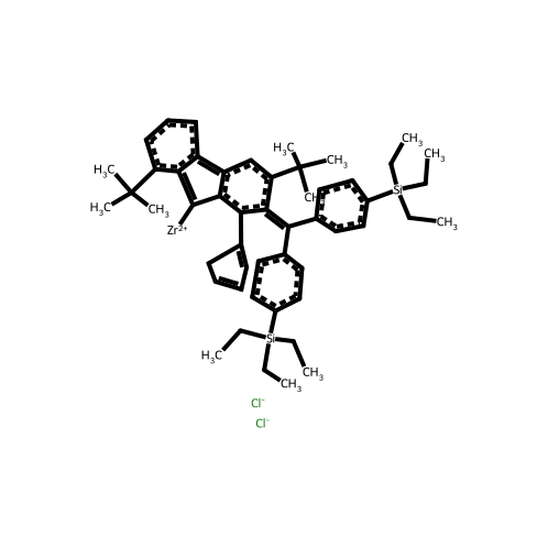 CC[Si](CC)(CC)c1ccc(C(c2ccc([Si](CC)(CC)CC)cc2)=c2c(C(C)(C)C)cc3c(c2C2=CC=CC2)[C]([Zr+2])=c2c(C(C)(C)C)cccc2=3)cc1.[Cl-].[Cl-]